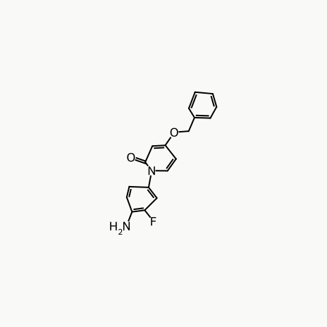 Nc1ccc(-n2ccc(OCc3ccccc3)cc2=O)cc1F